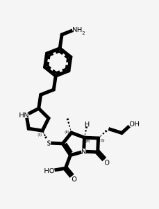 C[C@H]1C(S[C@@H]2CNC(CCc3ccc(CN)cc3)C2)=C(C(=O)O)N2C(=O)[C@@H](CCO)[C@H]12